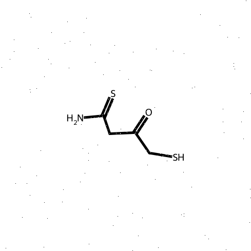 NC(=S)CC(=O)CS